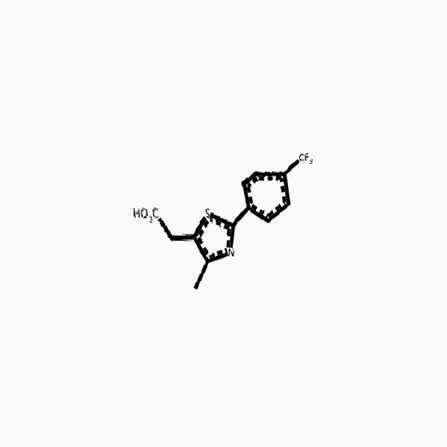 Cc1nc(-c2ccc(C(F)(F)F)cc2)sc1CC(=O)O